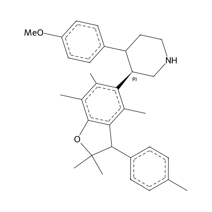 COc1ccc(C2CCNC[C@H]2c2c(C)c(C)c3c(c2C)C(c2ccc(C)cc2)C(C)(C)O3)cc1